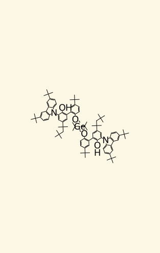 C[CH](C)[Ge]([CH2]Oc1ccc(C(C)(C)C)cc1-c1cc(C(C)(C)CC(C)(C)C)cc(-n2c3ccc(C(C)(C)C)cc3c3cc(C(C)(C)C)ccc32)c1O)([CH2]Oc1ccc(C(C)(C)C)cc1-c1cc(C(C)(C)CC(C)(C)C)cc(-n2c3ccc(C(C)(C)C)cc3c3cc(C(C)(C)C)ccc32)c1O)[CH](C)C